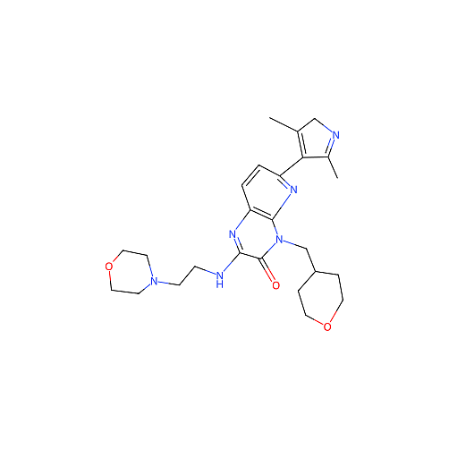 CC1=NCC(C)=C1c1ccc2nc(NCCN3CCOCC3)c(=O)n(CC3CCOCC3)c2n1